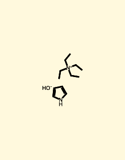 CC[N+](CC)(CC)CC.[OH-].c1cc[nH]c1